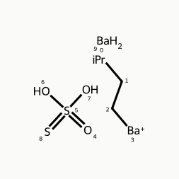 CC(C)C[CH2][Ba+].O=S(O)(O)=S.[BaH2]